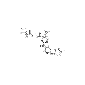 CN1CCC(Oc2ccc(Nc3ncc(C4CC4)c(NCCCNC(=O)C4CCC4)n3)cn2)CC1